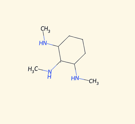 CN[C]1C(NC)CCCC1NC